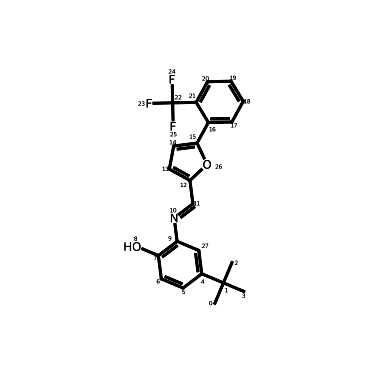 CC(C)(C)c1ccc(O)c(N=Cc2ccc(-c3ccccc3C(F)(F)F)o2)c1